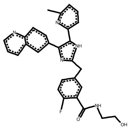 Cc1cccc(-c2[nH]c(Cc3ccc(F)c(C(=O)NCCO)c3)nc2-c2ccc3ncccc3c2)n1